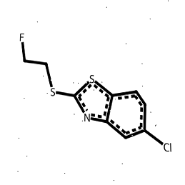 FCCSc1nc2cc(Cl)ccc2s1